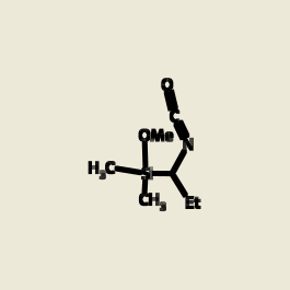 CCC(N=C=O)[Si](C)(C)OC